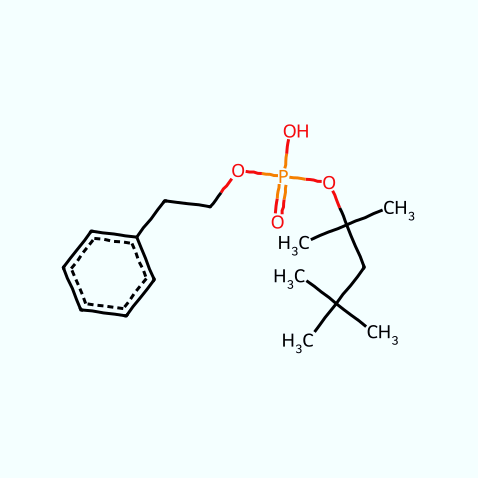 CC(C)(C)CC(C)(C)OP(=O)(O)OCCc1ccccc1